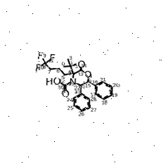 CC(C)(C)[C@]1(CCCC(F)(F)F)C(=O)O[C@@H](c2ccccc2)[C@@H](c2ccccc2)N1C(=O)O